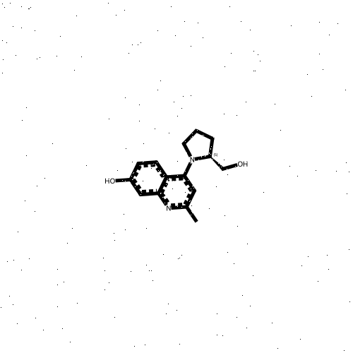 Cc1cc(N2CCC[C@H]2CO)c2ccc(O)cc2n1